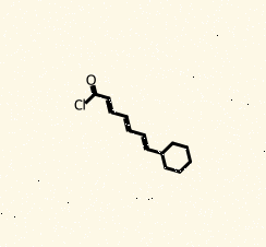 O=C(Cl)/C=C/C=C/C=C/C1CCCCC1